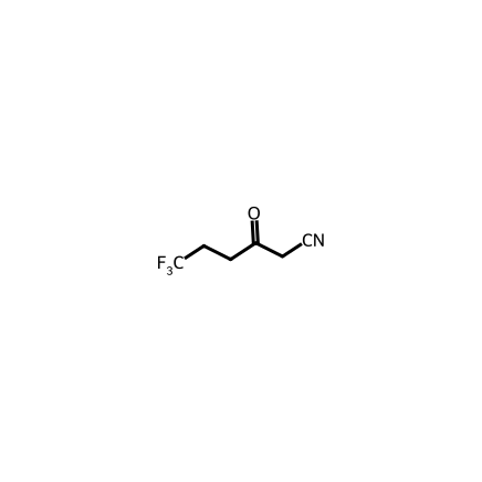 N#CCC(=O)CCC(F)(F)F